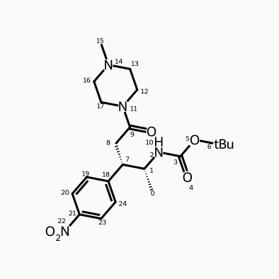 C[C@@H](NC(=O)OC(C)(C)C)[C@@H](CC(=O)N1CCN(C)CC1)c1ccc([N+](=O)[O-])cc1